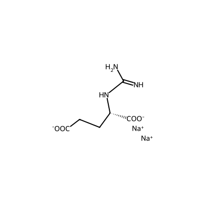 N=C(N)N[C@@H](CCC(=O)[O-])C(=O)[O-].[Na+].[Na+]